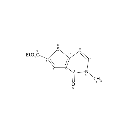 CCOC(=O)c1cc2c(=O)n(C)ccc2s1